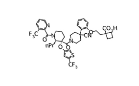 CCC[C@H]1N(C(=O)c2ncccc2C(F)(F)F)CCC[C@@]1(Oc1csc(C(F)(F)F)c1)C(=O)N1CCC(C#N)(c2ccccc2OCCC2(C(=O)O)CCC2)CC1